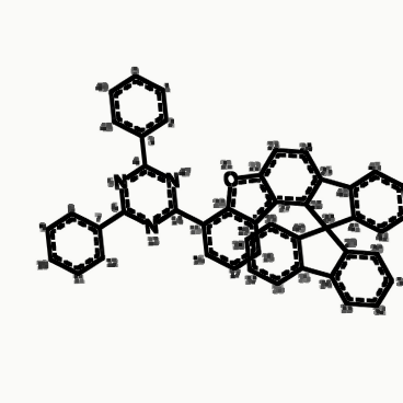 c1ccc(-c2nc(-c3ccccc3)nc(-c3cccc4c3oc3ccc5c(c34)C3(c4ccccc4-c4ccccc43)c3ccccc3-5)n2)cc1